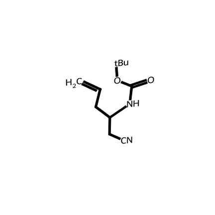 C=CCC(CC#N)NC(=O)OC(C)(C)C